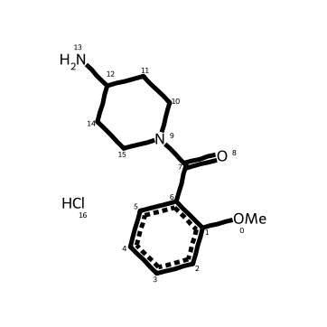 COc1ccccc1C(=O)N1CCC(N)CC1.Cl